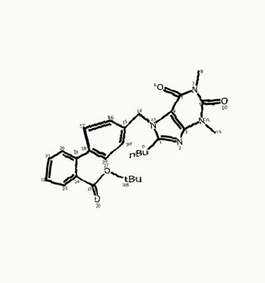 CCCCc1nc2c(c(=O)n(C)c(=O)n2C)n1Cc1ccc(-c2ccccc2C(=O)OC(C)(C)C)cc1